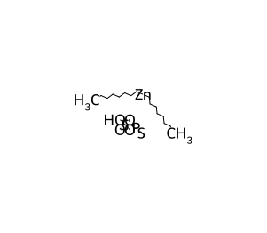 CCCCCCC[CH2][Zn][CH2]CCCCCCC.O=S(=O)(O)OP=S